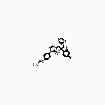 O=c1n(C[C@](O)(Cn2cncn2)c2ccc(F)cc2F)cnn1-c1ccc(OCC(F)(F)F)cc1